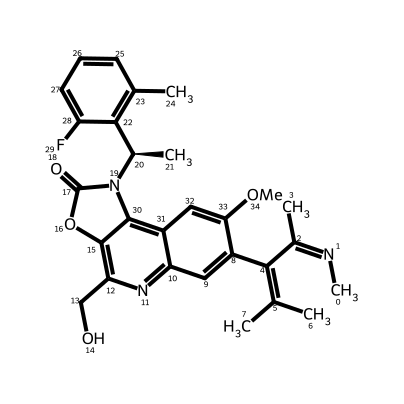 C/N=C(/C)C(=C(C)C)c1cc2nc(CO)c3oc(=O)n([C@H](C)c4c(C)cccc4F)c3c2cc1OC